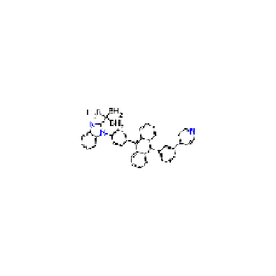 BC(B)(B)c1nc2ccccc2n1-c1ccc(-c2c3ccccc3c(-c3cccc(-c4ccncc4)c3)c3ccccc23)cc1